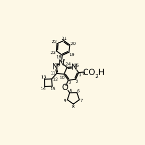 O=C(O)c1cc(OC2CCCC2)c2c(C3CCC3)nn(-c3ccccc3)c2n1